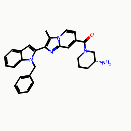 Cc1c(-c2cc3ccccc3n2Cc2ccccc2)nc2cc(C(=O)N3CCC[C@@H](N)C3)ccn12